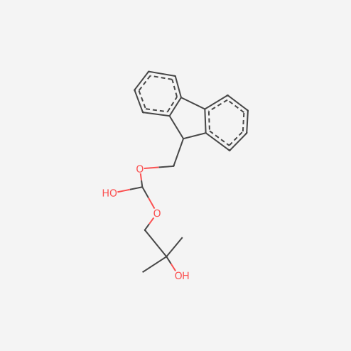 CC(C)(O)COC(O)OCC1c2ccccc2-c2ccccc21